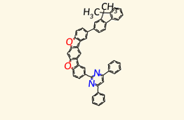 CC1(C)c2ccccc2-c2ccc(-c3ccc4oc5cc6oc7ccc(-c8nc(-c9ccccc9)cc(-c9ccccc9)n8)cc7c6cc5c4c3)cc21